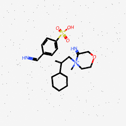 CC(C[N+]1(C)CCOCC1=N)C1CCCCC1.N=Cc1ccc(S(=O)(=O)O)cc1